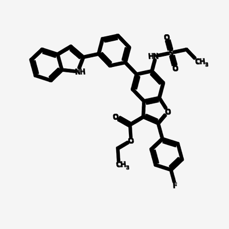 CCOC(=O)c1c(-c2ccc(F)cc2)oc2cc(NS(=O)(=O)CC)c(-c3cccc(-c4cc5ccccc5[nH]4)c3)cc12